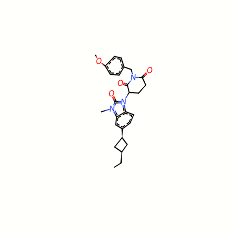 CC[C@H]1C[C@@H](c2ccc3c(c2)n(C)c(=O)n3C2CCC(=O)N(Cc3ccc(OC)cc3)C2=O)C1